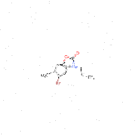 Cc1cc2oc(=O)n(CCC(F)(F)F)c2cc1Br